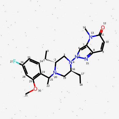 CC[C@@H]1CN(n2cc3c(ccc(=O)n3C)n2)[C@@H](CC)CN1C(C)c1ccc(F)cc1OC